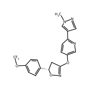 Cn1cc(-c2ccc(OC3=NO[C@H](c4ccc(OC(F)(F)F)cc4)C3)cn2)cn1